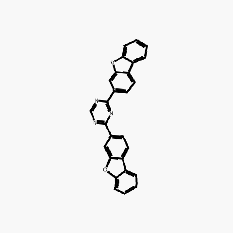 c1ccc2c(c1)oc1cc(-c3ncnc(-c4ccc5c(c4)oc4ccccc45)n3)ccc12